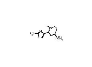 CN1CCC(N)CC1c1coc(C(F)(F)F)n1